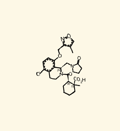 Cc1conc1COc1ccc(Cl)c2c1[C@@H](CN1CCCC1=O)N(C(=O)[C@@H]1CCCC[C@]1(C)C(=O)O)CC2